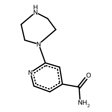 NC(=O)c1ccnc(N2CCNCC2)c1